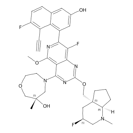 C#Cc1c(F)ccc2cc(O)cc(-c3nc(OC)c4c(N5CCOC[C@@](C)(O)C5)nc(OC[C@]56CCC[C@H]5N(C)C[C@@H](F)C6)nc4c3F)c12